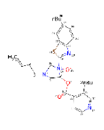 C=CCCN1CC(OC(=O)c2ccncc2CCCC)[N+]([O-])(c2nc3ccc(CCCC)cc3s2)C1